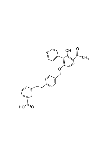 CC(=O)c1ccc(OCc2ccc(CCc3cccc(C(=O)O)c3)cc2)c(-c2ccncc2)c1O